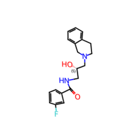 O=C(NC[C@H](O)CN1CCc2ccccc2C1)c1cccc(F)c1